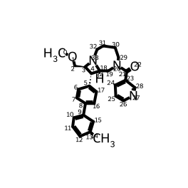 COC[C@@H]1[C@@H](c2ccc(-c3cccc(C)c3)cc2)[C@@H]2CN(C(=O)c3cccnc3)CCCCN12